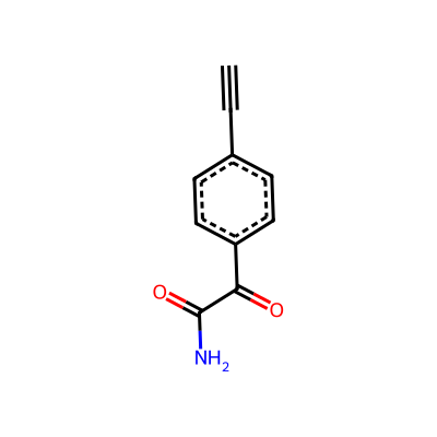 C#Cc1ccc(C(=O)C(N)=O)cc1